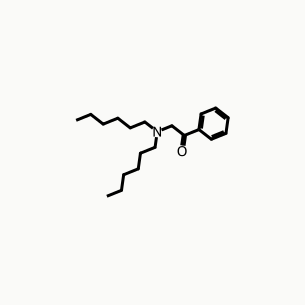 CCCCCCN(CCCCCC)CC(=O)c1ccccc1